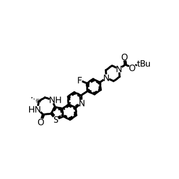 C[C@@H]1CNc2c(sc3ccc4nc(-c5ccc(N6CCN(C(=O)OC(C)(C)C)CC6)cc5F)ccc4c23)C(=O)N1